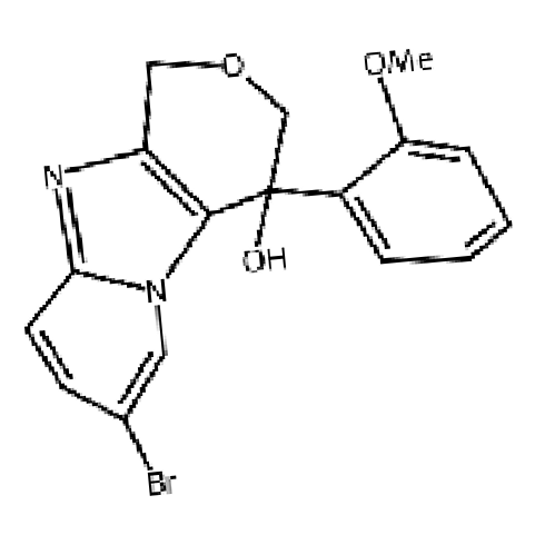 COc1ccccc1C1(O)COCc2nc3ccc(Br)cn3c21